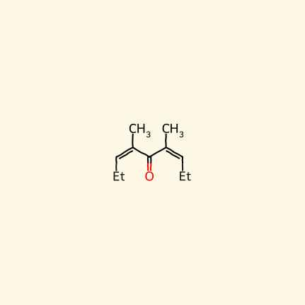 CC/C=C(/C)C(=O)/C(C)=C\CC